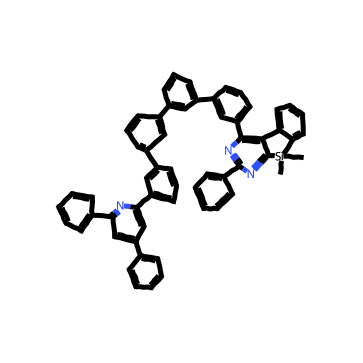 C[Si]1(C)c2ccccc2-c2c(-c3cccc(-c4cccc(-c5cccc(-c6cccc(-c7cc(-c8ccccc8)cc(-c8ccccc8)n7)c6)c5)c4)c3)nc(-c3ccccc3)nc21